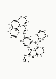 CCc1nc2cccc3c2n1-c1ccc(C2=CC4=CC=CC5=CC=C6CC=CC2=C6C54)cc1N3c1ccccc1